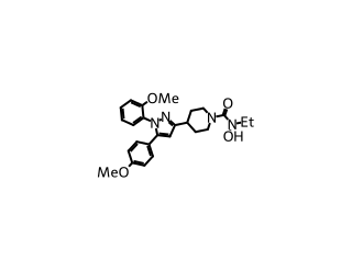 CCN(O)C(=O)N1CCC(c2cc(-c3ccc(OC)cc3)n(-c3ccccc3OC)n2)CC1